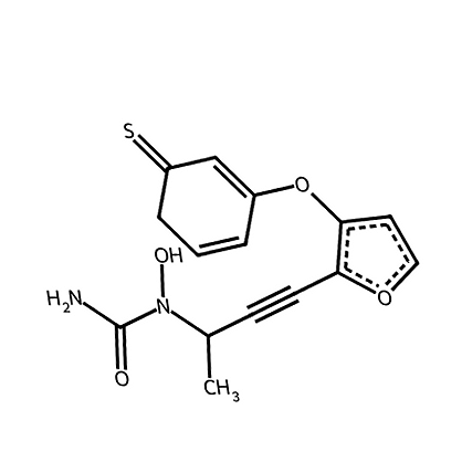 CC(C#Cc1occc1OC1=CC(=S)CC=C1)N(O)C(N)=O